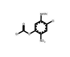 CCC(=O)Oc1cc(NC(C)=O)c(Cl)cc1[N+](=O)[O-]